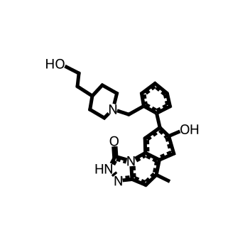 Cc1cc2n[nH]c(=O)n2c2cc(-c3ccccc3CN3CCC(CCO)CC3)c(O)cc12